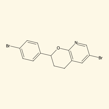 Brc1ccc(C2CCc3cc(Br)cnc3O2)cc1